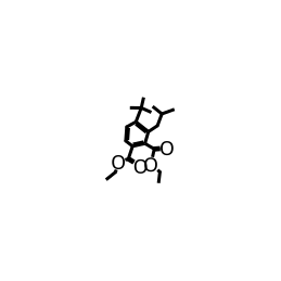 CCOC(=O)c1ccc(C(C)(C)C)c(CC(C)C)c1C(=O)OCC